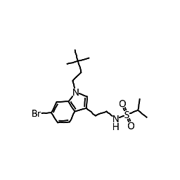 CC(C)S(=O)(=O)NCCc1cn(CCC(C)(C)C)c2cc(Br)ccc12